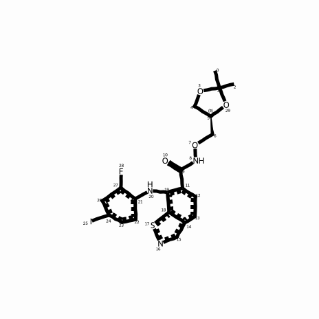 CC1(C)OC[C@H](CONC(=O)c2ccc3cnsc3c2Nc2ccc(I)cc2F)O1